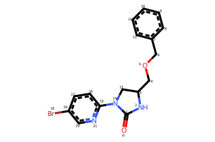 O=C1NC(COCc2ccccc2)CN1c1ccc(Br)cn1